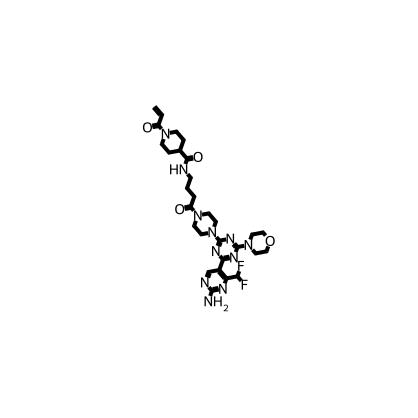 C=CC(=O)N1CCC(C(=O)NCCCC(=O)N2CCN(c3nc(-c4cnc(N)nc4C(F)F)nc(N4CCOCC4)n3)CC2)CC1